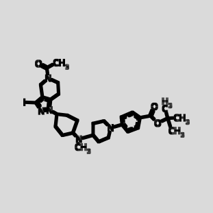 CC(=O)N1CCc2c(c(I)nn2C2CCC(N(C)C3CCN(c4ccc(C(=O)OC(C)(C)C)cc4)CC3)CC2)C1